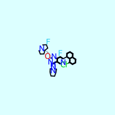 Fc1c(-c2cccc3cccc(Cl)c23)ncc2c(N3CC4CCC(C3)N4)nc(OC[C@]34CCCN3C[C@H](F)C4)nc12